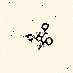 C[SiH](C)OC(C1CCCCC1)C1OC(n2ccc(N)nc2=O)C(F)(F)C1O[Si](C)(C)C1CCCCC1